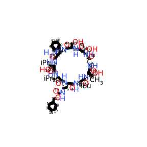 CC[C@H](C)[C@@H]1NC(=O)[C@@H](CCNC(=O)OCc2ccccc2)NC(=O)[C@H](CC(C)C)NC(=O)[C@H]([C@H](O)C(C)C)NC(=O)[C@@H](N)[C@@H](c2ccccc2)NC(=O)C(CO)NC(=O)[C@H](CO)NC(=O)CNC(=O)[C@H]([C@H](C)O)NC1=O